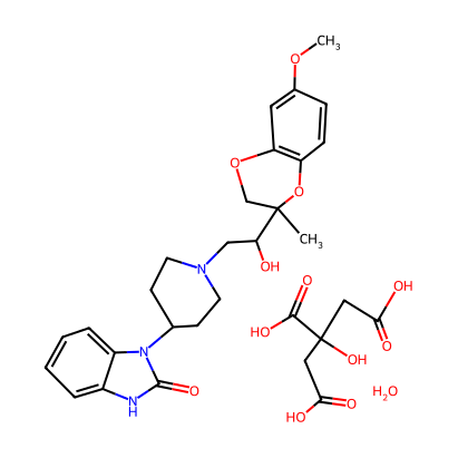 COc1ccc2c(c1)OCC(C)(C(O)CN1CCC(n3c(=O)[nH]c4ccccc43)CC1)O2.O.O=C(O)CC(O)(CC(=O)O)C(=O)O